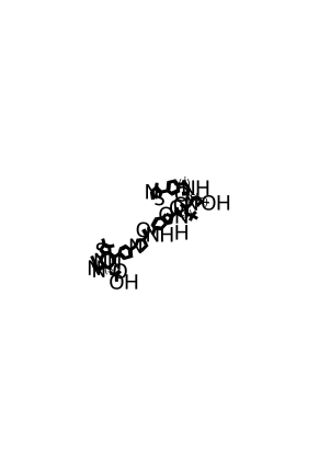 Cc1ncsc1-c1ccc([C@H](C)NC(=O)[C@@H]2C[C@@H](O)CN2C(=O)[C@@H](NC(=O)c2cc3cc(NC(=O)C4CCN(c5ccc(C6=N[C@@H](CC(=O)O)c7nnc(C)n7-c7sc(C)c(C)c76)cc5)C4)ccc3o2)C(C)(C)C)cc1